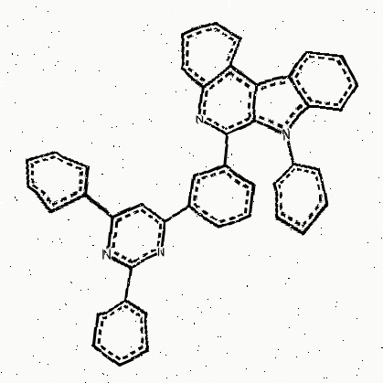 c1ccc(-c2cc(-c3cccc(-c4nc5ccccc5c5c6ccccc6n(-c6ccccc6)c45)c3)nc(-c3ccccc3)n2)cc1